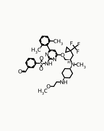 COCCN[C@H]1CC[C@@H](N(C)[C@@H](COc2cc(-c3c(C)cccc3C)nc(NS(=O)(=O)c3cccc(C=O)c3)n2)CC2(C(F)(F)F)CC2)CC1